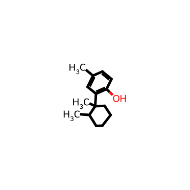 Cc1ccc(O)c(C2(C)CCCCC2C)c1